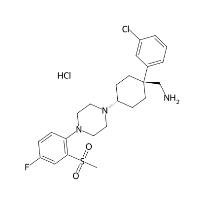 CS(=O)(=O)c1cc(F)ccc1N1CCN([C@H]2CC[C@@](CN)(c3cccc(Cl)c3)CC2)CC1.Cl